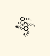 COc1cc(OC)c(PC(=O)c2c(C)cccc2Cl)c(OC)c1.[LiH]